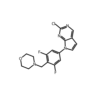 Fc1cc(-n2ccc3cnc(Cl)nc32)cc(F)c1CN1CCOCC1